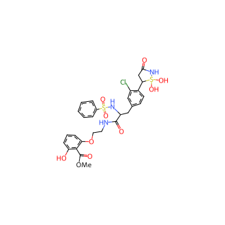 COC(=O)c1c(O)cccc1OCCNC(=O)C(Cc1ccc(C2CC(=O)NS2(O)O)c(Cl)c1)NS(=O)(=O)c1ccccc1